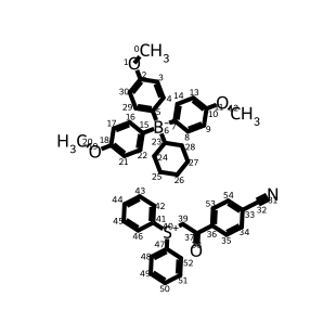 COc1ccc([B-](c2ccc(OC)cc2)(c2ccc(OC)cc2)C2CCCCC2)cc1.N#Cc1ccc(C(=O)C[S+](c2ccccc2)c2ccccc2)cc1